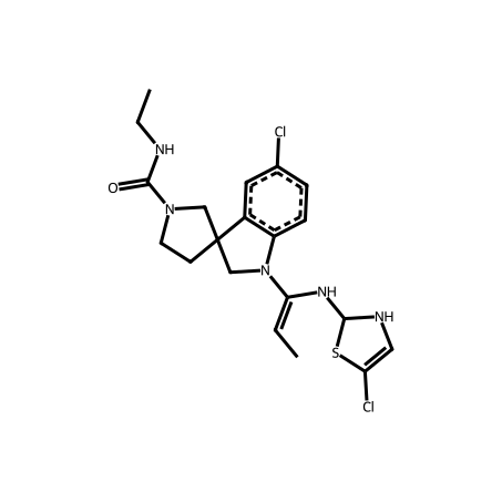 CC=C(NC1NC=C(Cl)S1)N1CC2(CCN(C(=O)NCC)C2)c2cc(Cl)ccc21